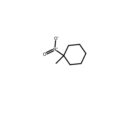 CC1([N+](=O)[O-])CCCCC1